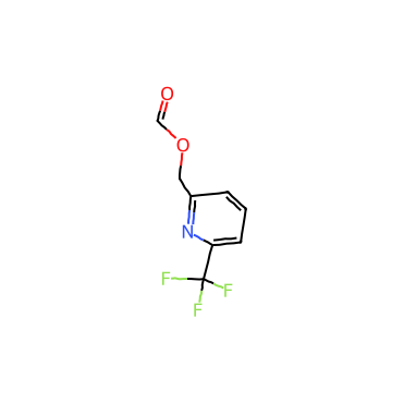 O=COCc1cccc(C(F)(F)F)n1